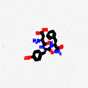 NC(=O)[C@H](Cc1ccccc1)NC(=O)[C@H](Cc1ccc(O)cc1)NC(=O)[C@@H](N)CC(=O)O